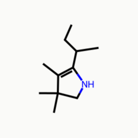 CCC(C)C1=C(C)C(C)(C)CN1